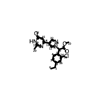 CCc1ccc(C(C(=O)OC)n2cc(-c3cc(=O)[nH]c(C)n3)cn2)c(Cl)c1